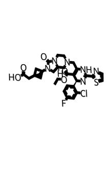 CCOC(=O)C1=C(CN2CCN3C(=O)N(C45CC(CC(=O)O)(C4)C5)C[C@@H]3C2)NC(c2nccs2)=N[C@H]1c1ccc(F)cc1Cl